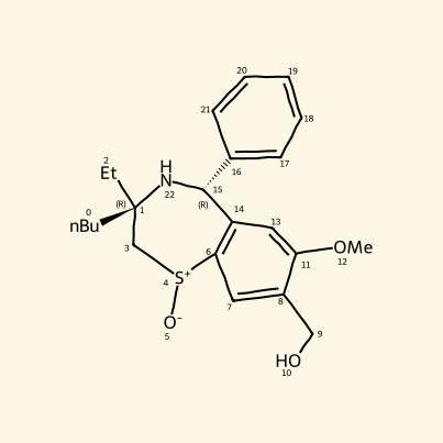 CCCC[C@]1(CC)C[S+]([O-])c2cc(CO)c(OC)cc2[C@@H](c2ccccc2)N1